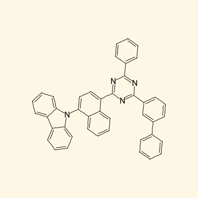 c1ccc(-c2cccc(-c3nc(-c4ccccc4)nc(-c4ccc(-n5c6ccccc6c6ccccc65)c5ccccc45)n3)c2)cc1